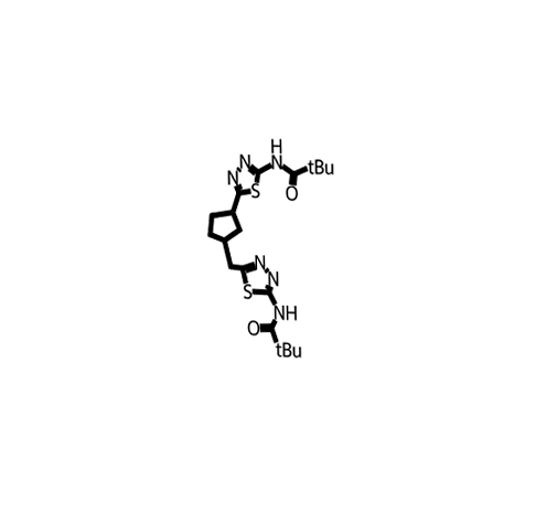 CC(C)(C)C(=O)Nc1nnc(CC2CCC(c3nnc(NC(=O)C(C)(C)C)s3)C2)s1